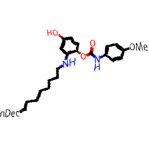 CCCCCCCCCCCCCCCCCCNc1cc(O)ccc1OC(=O)Nc1ccc(OC)cc1